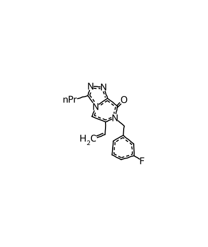 C=Cc1cn2c(CCC)nnc2c(=O)n1Cc1cccc(F)c1